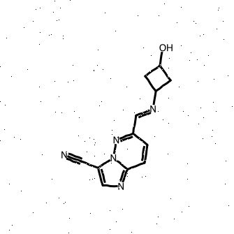 N#Cc1cnc2ccc(/C=N/C3CC(O)C3)nn12